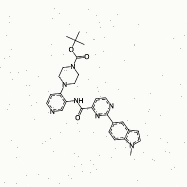 Cn1ccc2cc(-c3nccc(C(=O)Nc4cnccc4N4CCN(C(=O)OC(C)(C)C)CC4)n3)ccc21